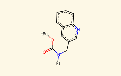 CCN(Cc1cnc2ccccc2c1)C(=O)OC(C)(C)C